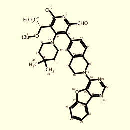 CCOC(=O)[C@@H](OC(C)(C)C)c1c(Cl)nc(C=O)c(-c2ccc3c(c2)CCN(c2ncnc4c2oc2ccccc24)C3)c1N1CCC(C)(C)CC1